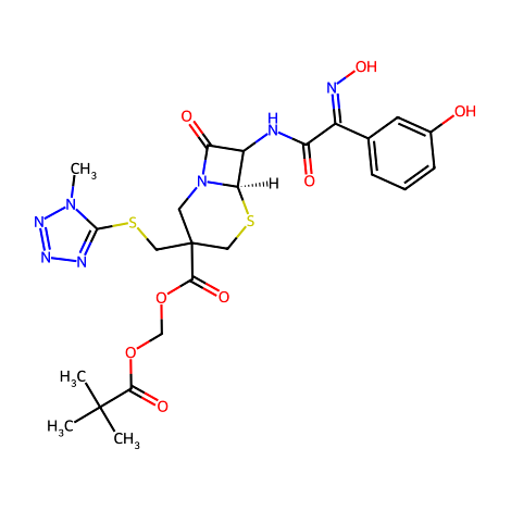 Cn1nnnc1SCC1(C(=O)OCOC(=O)C(C)(C)C)CS[C@@H]2C(NC(=O)C(=NO)c3cccc(O)c3)C(=O)N2C1